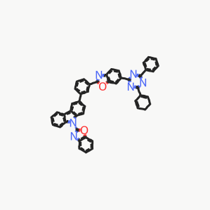 C1=CC(c2nc(-c3ccccc3)nc(-c3ccc4nc(-c5cccc(-c6ccc7c(c6)c6ccccc6n7-c6nc7ccccc7o6)c5)oc4c3)n2)=CCC1